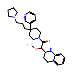 COC(C(=O)N1CCC(CCCN2CCCC2)(c2cccnc2)CC1)C1CCc2ccccc2N1